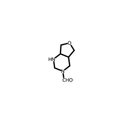 O=[C]N1CNC2COCC2C1